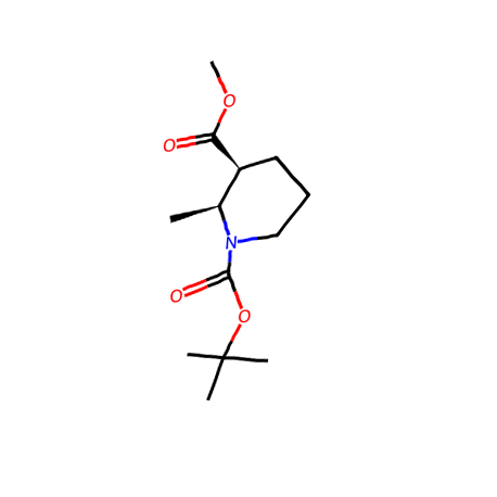 COC(=O)[C@H]1CCCN(C(=O)OC(C)(C)C)[C@H]1C